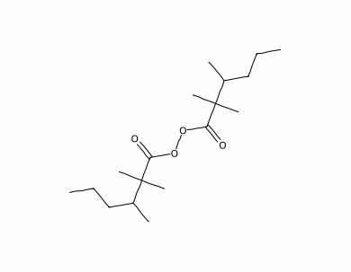 CCCC(C)C(C)(C)C(=O)OOC(=O)C(C)(C)C(C)CCC